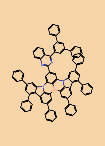 c1ccc(-c2cc(-c3ccccc3)cc(-c3nc(-c4cc5c6c(c4)-n4c7cc(-c8ccccc8)cc(-c8ccccc8)c7c7cc(-c8ccccc8)cc(c74)B6c4cc(-c6ccccc6)cc6c7c(-c8ccccc8)cc(-c8ccccc8)cc7n-5c46)nc4ccccc34)c2)cc1